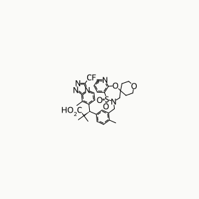 Cc1ccc([C@H](c2ccn3c(C(F)(F)F)nnc3c2C)C(C)(C)C(=O)O)cc1CN1CC2(CCOCC2)Oc2ncccc2S1(=O)=O